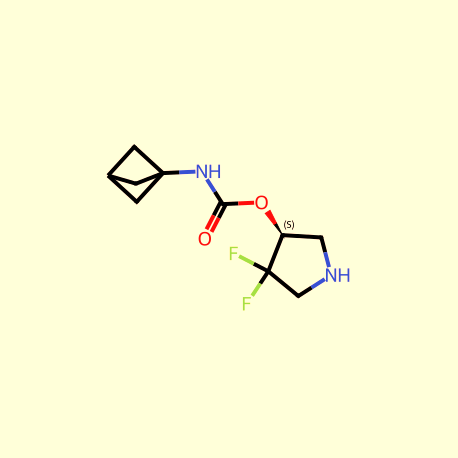 O=C(NC12CC(C1)C2)O[C@H]1CNCC1(F)F